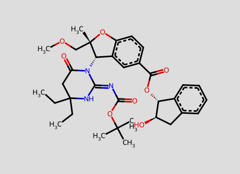 CCC1(CC)CC(=O)N([C@H]2c3cc(C(=O)O[C@@H]4c5ccccc5C[C@H]4O)ccc3O[C@@]2(C)COC)/C(=N/C(=O)OC(C)(C)C)N1